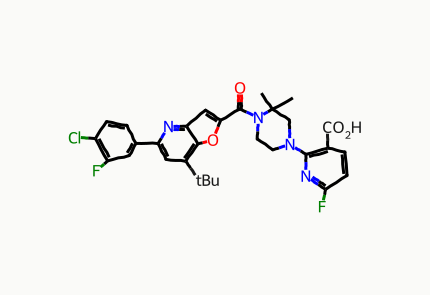 CC(C)(C)c1cc(-c2ccc(Cl)c(F)c2)nc2cc(C(=O)N3CCN(c4nc(F)ccc4C(=O)O)CC3(C)C)oc12